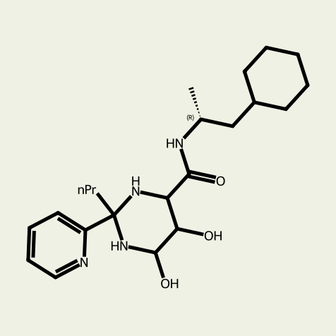 CCCC1(c2ccccn2)NC(O)C(O)C(C(=O)N[C@H](C)CC2CCCCC2)N1